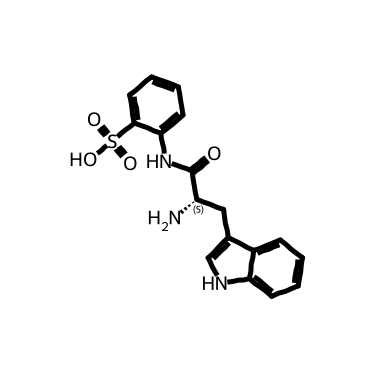 N[C@@H](Cc1c[nH]c2ccccc12)C(=O)Nc1ccccc1S(=O)(=O)O